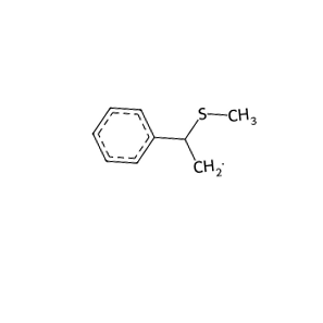 [CH2]C(SC)c1ccccc1